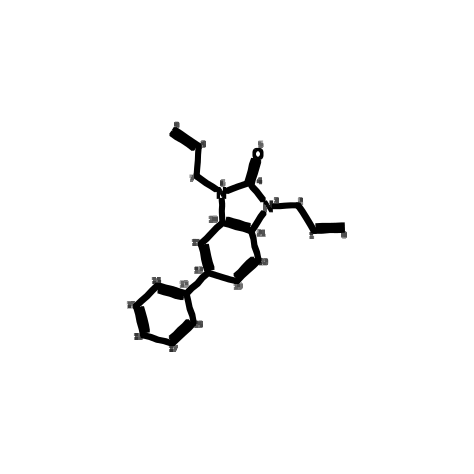 C=CCn1c(=O)n(CC=C)c2cc(-c3ccccc3)ccc21